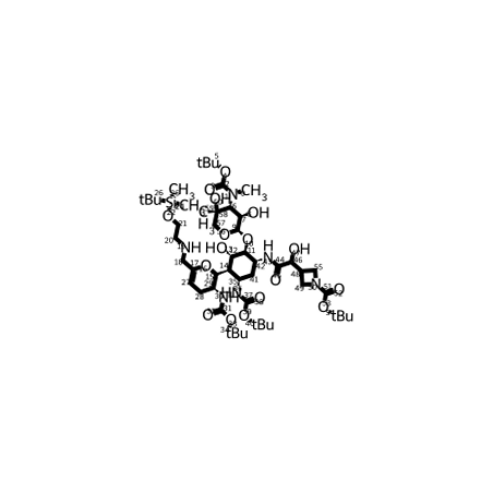 CN(C(=O)OC(C)(C)C)[C@@H]1[C@@H](O)[C@@H](O[C@@H]2[C@@H](O)[C@H](C3OC(CNCCO[Si](C)(C)C(C)(C)C)=CC[C@H]3NC(=O)OC(C)(C)C)[C@@H](NC(=O)OC(C)(C)C)C[C@H]2NC(=O)C(O)C2CN(C(=O)OC(C)(C)C)C2)OC[C@]1(C)O